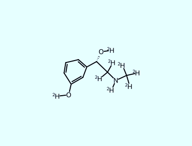 [2H]Oc1cccc([C@H](O[2H])C([2H])([2H])N([2H])C([2H])([2H])[2H])c1